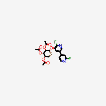 CC(=O)O[C@@H]1[C@@H](OC(C)=O)[C@@H](Oc2cc(-c3ccnc(F)c3)cnc2F)SC[C@H]1OC(C)=O